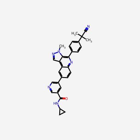 Cn1ncc2c3cc(-c4cncc(C(=O)NC5CC5)c4)ccc3nc(-c3ccc(C(C)(C)C#N)cc3)c21